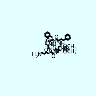 CC(C)C[C@@H](NC(=O)[C@@H](Cc1ccccc1)NC(=O)[C@H](N)CCc1ccccc1)C(=O)N[C@H](CCCCN)C(=O)N1CC2(CCN(S(=O)(=O)N(C)C)C2)C1